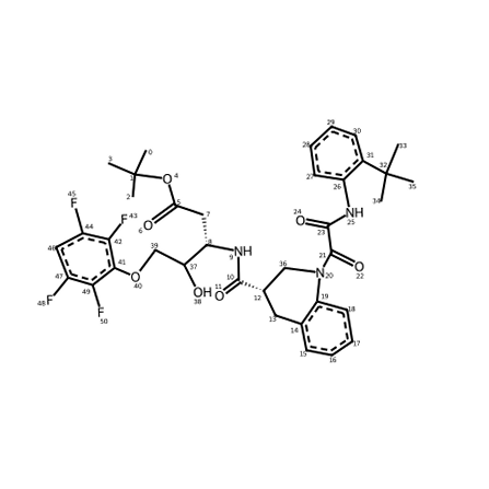 CC(C)(C)OC(=O)C[C@H](NC(=O)[C@H]1Cc2ccccc2N(C(=O)C(=O)Nc2ccccc2C(C)(C)C)C1)C(O)COc1c(F)c(F)cc(F)c1F